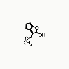 COCC1=C2C=CC=C2OC1O